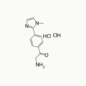 Cl.Cl.Cn1ccnc1-c1ccc(C(=O)CN)cc1